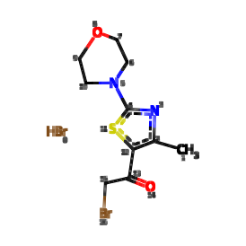 Br.Cc1nc(N2CCOCC2)sc1C(=O)CBr